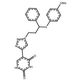 COc1ccc(SC(CCn2cc(-c3c[nH]c(=O)[nH]c3=O)nn2)c2ccccc2)cc1